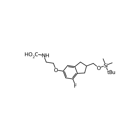 CC(C)(C)[Si](C)(C)OCC1Cc2cc(OCCNC(=O)O)cc(F)c2C1